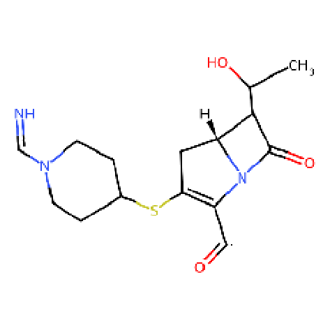 CC(O)C1C(=O)N2C([C]=O)=C(SC3CCN(C=N)CC3)C[C@H]12